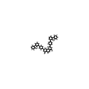 Cc1cc(-c2ccc(-c3cccc4c3oc3ccccc34)cc2)nc2c1ccc1c(C)cc(-c3ccc(-c4cccc5c4oc4ccccc45)cc3)nc12